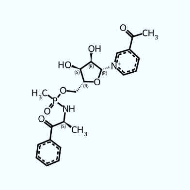 CC(=O)c1ccc[n+]([C@@H]2O[C@H](COP(C)(=O)N[C@@H](C)C(=O)c3ccccc3)[C@@H](O)[C@H]2O)c1